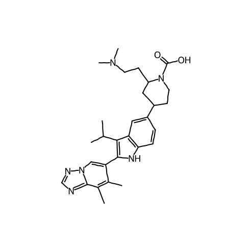 Cc1c(-c2[nH]c3ccc(C4CCN(C(=O)O)C(CCN(C)C)C4)cc3c2C(C)C)cn2ncnc2c1C